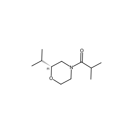 CC(C)C(=O)N1CCO[C@H](C(C)C)C1